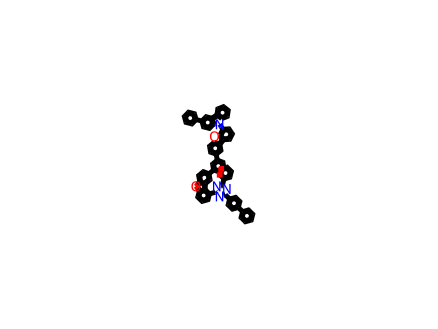 c1ccc(-c2ccc(-c3nc(-c4ccccc4)nc(-c4cccc5oc6ccc(-c7cccc(-c8ccc9oc%10c(-n%11c%12ccccc%12c%12cc(-c%13ccccc%13)ccc%12%11)cccc%10c9c8)c7)cc6c45)n3)cc2)cc1